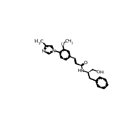 COc1cc(/C=C/C(=O)N[C@@H](CO)Cc2ccccc2)ccc1-n1cnc(C)c1